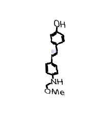 COCNc1ccc(/C=C/c2ccc(O)cc2)cc1